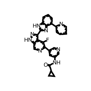 O=C(Nc1cncc(-c2ncc3[nH]nc(-c4nc5c(-c6ccccn6)cccc5[nH]4)c3c2F)c1)C1CC1